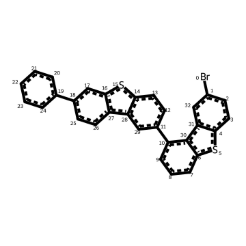 Brc1ccc2sc3cccc(-c4ccc5sc6cc(-c7ccccc7)ccc6c5c4)c3c2c1